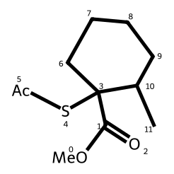 COC(=O)C1(SC(C)=O)CCCCC1C